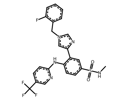 CNS(=O)(=O)c1ccc(Nc2ccc(C(F)(F)F)cn2)c(-c2cn(Cc3ccccc3F)cn2)c1